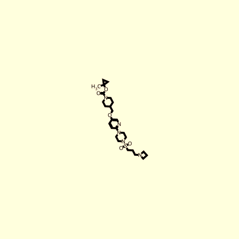 CC1(OC(=O)N2CCC(COc3ccc(N4CCN(S(=O)(=O)CCCN5CCC5)CC4)nc3)CC2)CC1